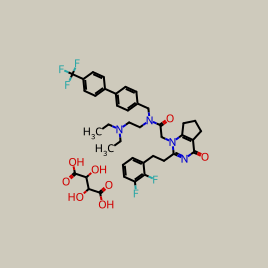 CCN(CC)CCN(Cc1ccc(-c2ccc(C(F)(F)F)cc2)cc1)C(=O)Cn1c(CCc2cccc(F)c2F)nc(=O)c2c1CCC2.O=C(O)C(O)C(O)C(=O)O